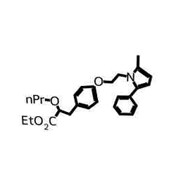 CCCOC(Cc1ccc(OCCn2c(C)ccc2-c2ccccc2)cc1)C(=O)OCC